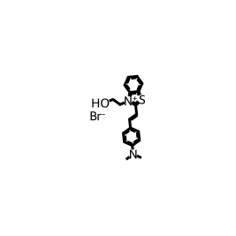 CN(C)c1ccc(/C=C/c2sc3ccccc3[n+]2CCO)cc1.[Br-]